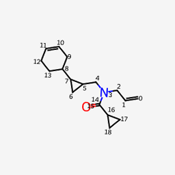 C=CCN(CC1CC1C1CC=CCC1)C(=O)C1CC1